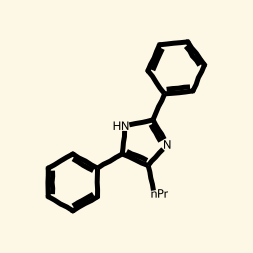 CCCc1nc(-c2ccccc2)[nH]c1-c1ccccc1